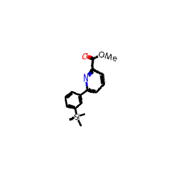 COC(=O)c1cccc(-c2cccc([Si](C)(C)C)c2)n1